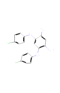 Nc1cc(N)c(Nc2ccc(Cl)cc2)cc1Nc1ccc(Cl)cc1